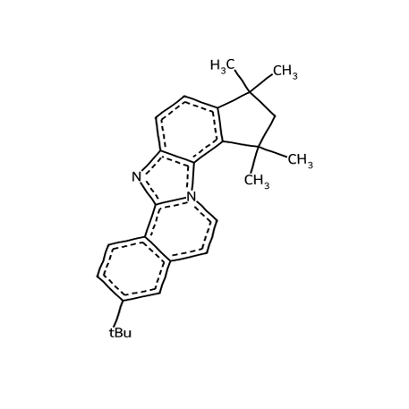 CC(C)(C)c1ccc2c(ccn3c2nc2ccc4c(c23)C(C)(C)CC4(C)C)c1